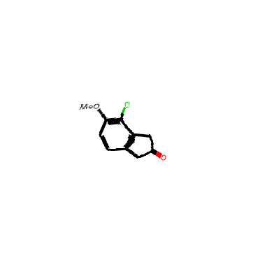 COc1ccc2c(c1Cl)CC(=O)C2